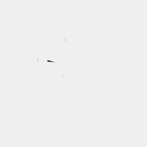 C[C@@H](C(=O)O)N(C=O)c1cc(Cl)cc(Cl)c1